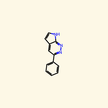 c1ccc(-c2cc3cc[nH]c3nn2)cc1